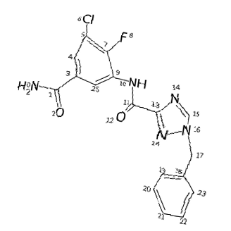 NC(=O)c1cc(Cl)c(F)c(NC(=O)c2ncn(Cc3ccccc3)n2)c1